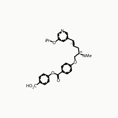 CN[C@H](C/C=C/c1cncc(OC(C)C)c1)COc1ccc(C(=O)Oc2ccc(C(=O)O)cc2)cc1